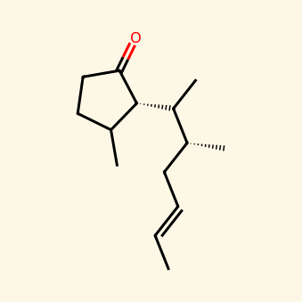 C/C=C/C[C@@H](C)C(C)[C@H]1C(=O)CCC1C